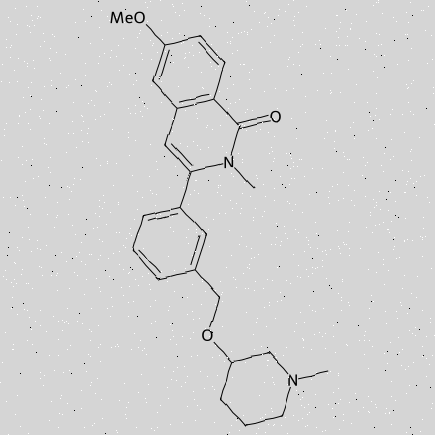 COc1ccc2c(=O)n(C)c(-c3cccc(COC4CCCN(C)C4)c3)cc2c1